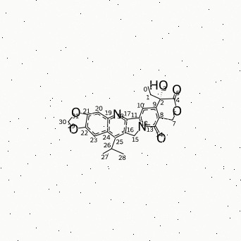 CC[C@@]1(O)C(=O)OCc2c1cc1n(c2=O)Cc2c-1nc1cc3c(cc1c2C(C)C)OCO3